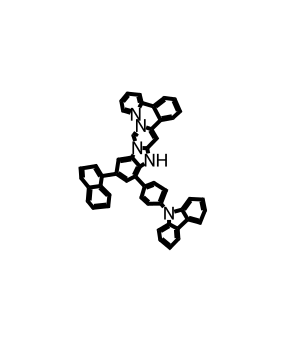 C1=NC(c2ccccc2-c2ccccn2)=CC2Nc3c(-c4ccc(-n5c6ccccc6c6ccccc65)cc4)cc(-c4cccc5ccccc45)cc3N12